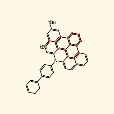 CC(C)(C)c1cc(-c2cccc3cccc(-c4ccccc4N(c4ccc(C5=CC=CCC5)cc4)c4ccccc4-c4cccc5cccc(-c6ccccc6)c45)c23)cc(C(C)(C)C)c1